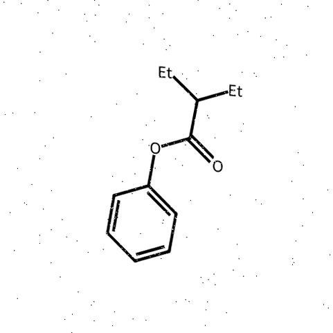 CCC(CC)C(=O)Oc1ccccc1